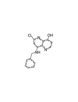 Oc1ccnc2c(NCc3ccccc3)cc(Cl)nc12